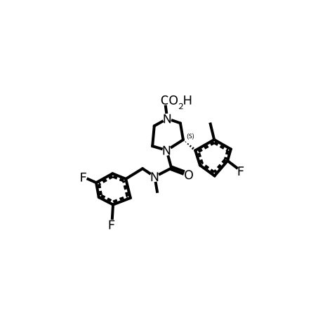 Cc1cc(F)ccc1[C@H]1CN(C(=O)O)CCN1C(=O)N(C)Cc1cc(F)cc(F)c1